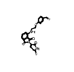 O=Cc1ccc(OCCNc2cccc3c2C(=O)N(C2CCC(=O)NC2=O)C3=O)cc1